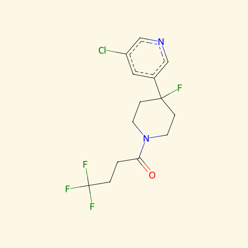 O=C(CCC(F)(F)F)N1CCC(F)(c2cncc(Cl)c2)CC1